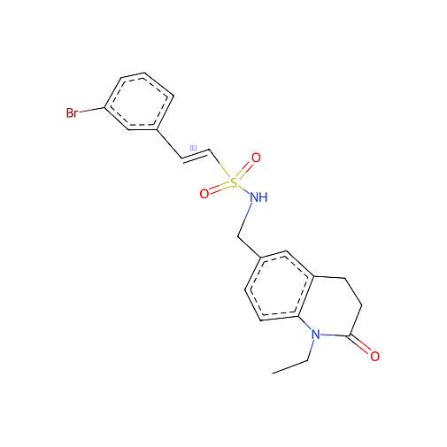 CCN1C(=O)CCc2cc(CNS(=O)(=O)/C=C/c3cccc(Br)c3)ccc21